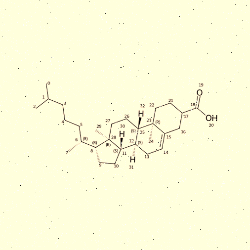 CC(C)CCC[C@@H](C)[C@H]1CC[C@H]2[C@@H]3CC=C4CC(C(=O)O)CC[C@]4(C)[C@H]3CC[C@]12C